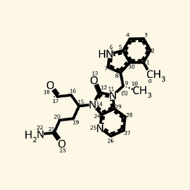 Cc1cccc2[nH]cc([C@H](C)n3c(=O)n(C(C[C]=O)CCC(N)=O)c4ncccc43)c12